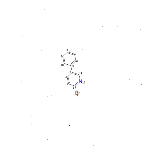 Brc1ccc(-c2cc[c]cc2)cn1